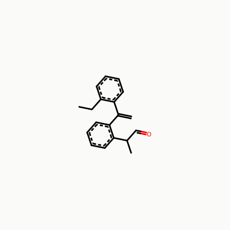 C=C(c1ccccc1CC)c1ccccc1C(C)C=O